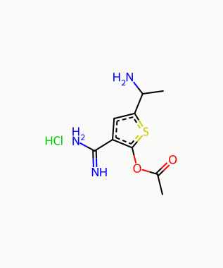 CC(=O)Oc1sc(C(C)N)cc1C(=N)N.Cl